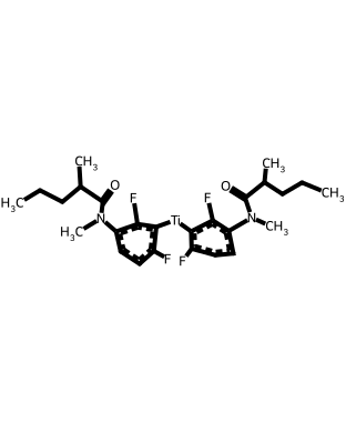 CCCC(C)C(=O)N(C)c1ccc(F)[c]([Ti][c]2c(F)ccc(N(C)C(=O)C(C)CCC)c2F)c1F